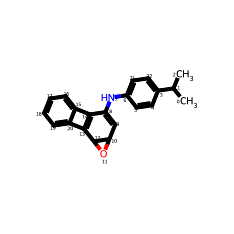 CC(C)c1ccc(NC2=CC3OC3C3=C2c2ccccc23)cc1